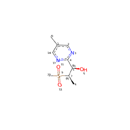 Cc1cnc([C@@H](O)[C@@H](C)S(C)(=O)=O)nc1